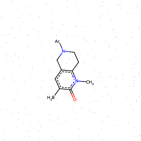 Bc1cc2c(n(C)c1=O)CCN(C(C)=O)C2